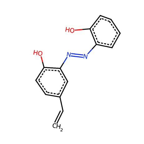 C=Cc1ccc(O)c(N=Nc2ccccc2O)c1